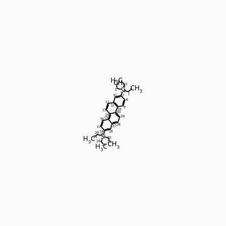 CC[Si](CC)(CC)c1ccc2c(ccc3c4ccc([Si](CC)(CC)CC)cc4ccc23)c1